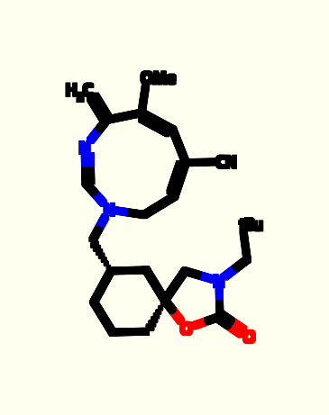 C=C1/N=C\N(C[C@H]2CCC[C@]3(C2)CN(CC(C)(C)C)C(=O)O3)C/C=C(C#N)\C=C/1OC